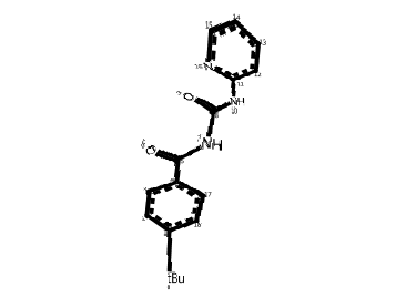 CC(C)(C)c1ccc(C(=O)NC(=O)Nc2ccccn2)cc1